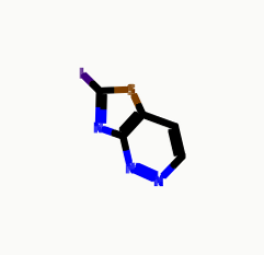 Ic1nc2nnccc2s1